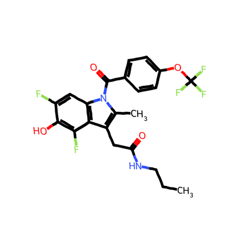 CCCNC(=O)Cc1c(C)n(C(=O)c2ccc(OC(F)(F)F)cc2)c2cc(F)c(O)c(F)c12